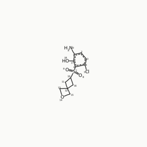 Nc1ccc(Cl)c(S(=O)(=O)C2CC3(COC3)C2)c1O